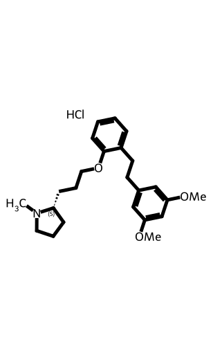 COc1cc(CCc2ccccc2OCCC[C@@H]2CCCN2C)cc(OC)c1.Cl